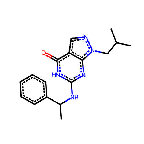 CC(C)Cn1ncc2c(=O)[nH]c(NC(C)c3ccccc3)nc21